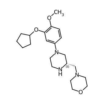 COc1ccc(N2CCN[C@@H](CN3CCOCC3)C2)cc1OC1CCCC1